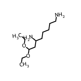 CCOC(CC(N)CCCCCN)OCC